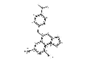 CC(C)c1ccc(Cc2cc3[nH]ccc3c3c(N)nc(N)nc23)cc1